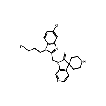 CC(C)CCCn1c(CN2C(=O)C3(CCNCC3)c3ccncc32)nc2cc(Cl)ccc21